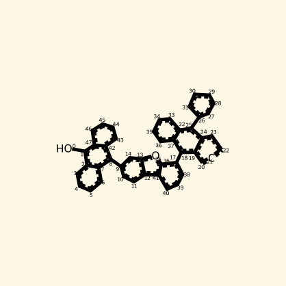 Oc1c2ccccc2c(-c2ccc3c(c2)oc2c(-c4c5ccccc5c(-c5ccccc5)c5ccccc45)cccc23)c2ccccc12